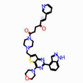 O=C(/C=C/c1cccnc1)CCC(=O)N1CCN(Cc2cc3nc(-c4cccc5[nH]ncc45)nc(N4CCOCC4)c3s2)CC1